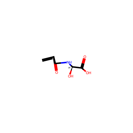 C=CC(=O)N[C@H](O)C(=O)O